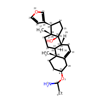 CCC(N)O[C@H]1CC[C@@]2(C)C(=CC[C@@H]3[C@@H]2CC[C@]2(C)[C@@H](c4ccoc4)CC[C@]32O)C1